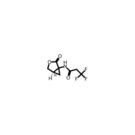 O=C(CC(F)(F)F)NC12C[C@H]1COC2=O